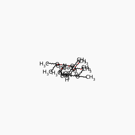 CCCCCCCCC(CCCCCCCC)OC(=O)CCCCCN(CCCCCC(=O)OC(CCCCCCCC)CCCCCCCC)CCNC(=O)CCN(C)CCN(C)CCC(=O)NCCN(CCCCCC(=O)OC(CCCCCCCC)CCCCCCCC)CCCCCC(=O)OC(CCCCCCCC)CCCCCCCC